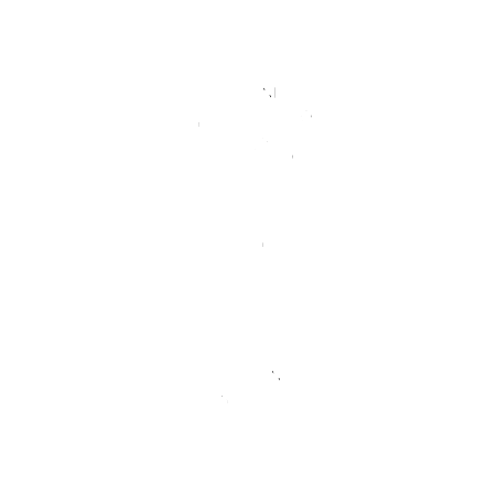 O=S1(=O)NCCOc2ccc(Oc3cccc(-c4nccs4)c3)cc21